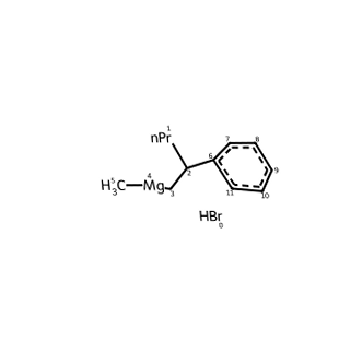 Br.CCCC([CH2][Mg][CH3])c1ccccc1